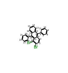 Brc1ccc2c(-c3ccccc3)c3ccccc3c(-c3ccccc3)c2c1Br